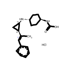 C/C(=C\c1ccccc1)[C@H]1C[C@@H]1N[C@H]1CC[C@H](NC(=O)O)CC1.Cl